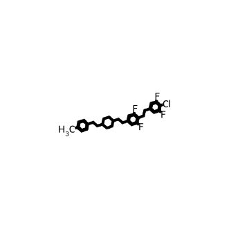 Cc1ccc(CCC2CCC(CCc3cc(F)c(CCc4cc(F)c(Cl)c(F)c4)c(F)c3)CC2)cc1